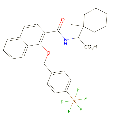 CC1(C(NC(=O)c2ccc3ccccc3c2OCc2ccc(S(F)(F)(F)(F)F)cc2)C(=O)O)CCCCC1